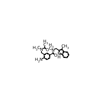 CC(=O)N(C)Cc1cc(C(=O)N(C)Cc2[nH]c3ccccc3c2C)ccc1N